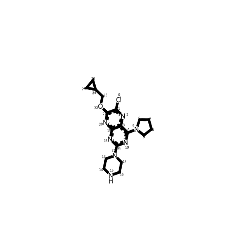 Clc1nc2c(N3CCCC3)nc(N3CCNCC3)nc2nc1OCC1CC1